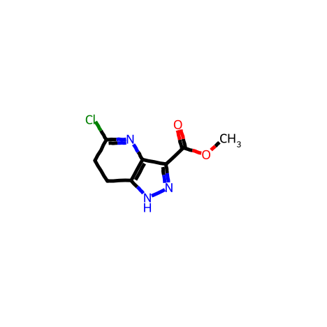 COC(=O)c1n[nH]c2c1N=C(Cl)CC2